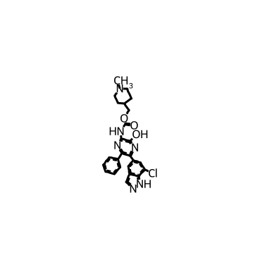 CN1CCC(COC(=O)Nc2nc(-c3ccccc3)c(-c3cc(Cl)c4[nH]ncc4c3)nc2O)CC1